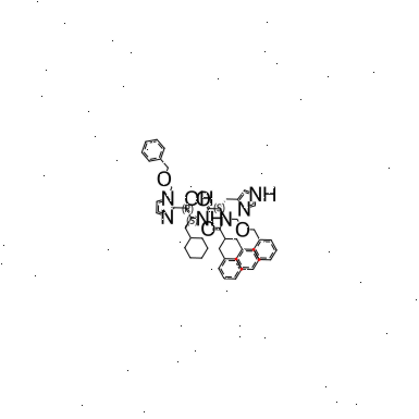 O=C(N[C@@H](CC1CCCCC1)[C@@H](O)c1nccn1COCc1ccccc1)[C@H](Cc1c[nH]cn1)N(COCc1ccccc1)C(=O)C(Cc1ccccc1)Cc1ccccc1